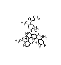 C=CC(=O)N1CC(C)N(c2nc(=O)n(-c3c(C)ccnc3C(C)C)c3nc(-c4cc(F)c(F)cc4N)c(Cl)cc23)CC1C